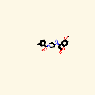 COc1ccc2oc(=O)cc(NC3CCN(C(OC)c4cccc(C)c4)CC3)c2c1